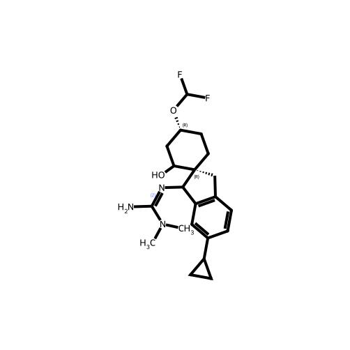 CN(C)/C(N)=N\C1c2cc(C3CC3)ccc2C[C@]12CC[C@@H](OC(F)F)CC2O